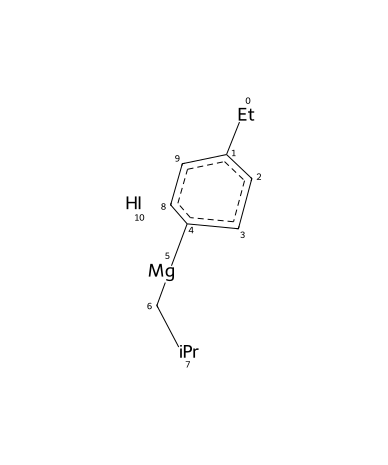 CCc1cc[c]([Mg][CH2]C(C)C)cc1.I